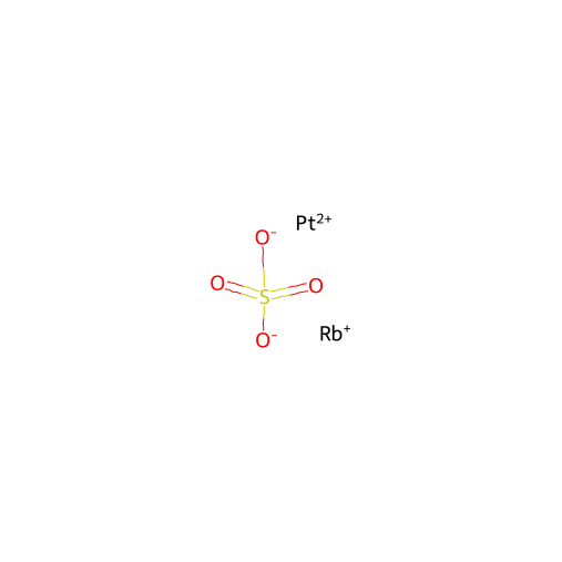 O=S(=O)([O-])[O-].[Pt+2].[Rb+]